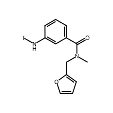 CN(Cc1ccco1)C(=O)c1cccc(NI)c1